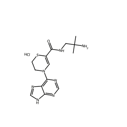 CC(C)(N)CNC(=O)C1=CN(c2ncnc3[nH]cnc23)CCS1.Cl